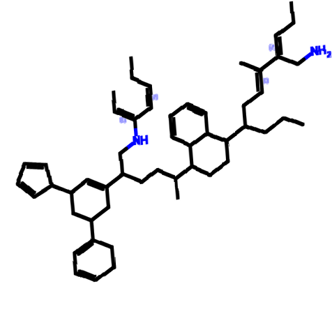 C/C=C(\C=C/CC)NCC(CCC(C)C1CCC(C(C/C=C(C)/C(=C/CC)CN)CCC)C2C=CC=CC21)C1=CC(C2C=CC=C2)CC(C2=CC=CCC2)C1